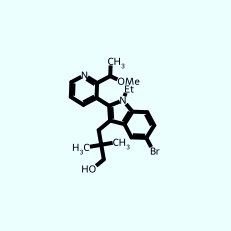 CCn1c(-c2cccnc2C(C)OC)c(CC(C)(C)CO)c2cc(Br)ccc21